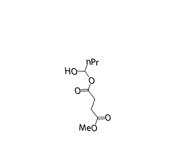 CCCC(O)OC(=O)CCC(=O)OC